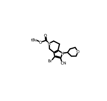 CC(C)(C)OC(=O)N1CCc2c(c(Br)c(C#N)n2C2CCOCC2)C1